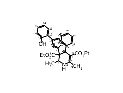 CCOC(=O)C1=C(C)NC(C)C(C(=O)OCC)(c2nc(-c3ccccc3O)cs2)C1c1ccccc1